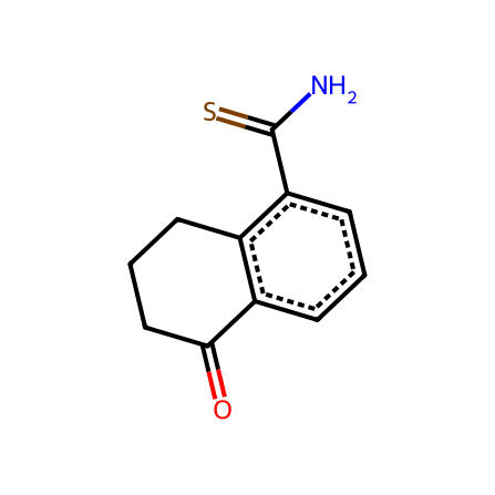 NC(=S)c1cccc2c1CCCC2=O